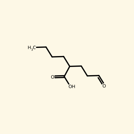 CCCCC(CCC=O)C(=O)O